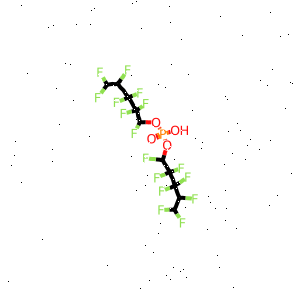 O=P(O)(OC(F)C(F)(F)C(F)(F)C(F)C(F)F)OC(F)C(F)(F)C(F)(F)C(F)C(F)F